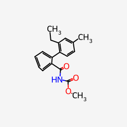 CCc1cc(C)ccc1-c1ccccc1C(=O)NC(=O)OC